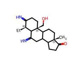 CC[C@H]1C(=N)CC[C@]2(CO)C3CC[C@]4(C)C(=O)CCC4C3CC(=N)C12